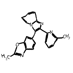 Cc1cccc(-c2nc3ccccn3c2-c2ccc3nc(C)oc3c2)n1